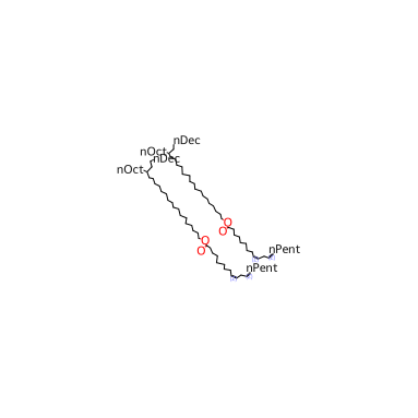 CCCCC/C=C\C/C=C\CCCCCCCC(=O)OCCCCCCCCCCCCCCCCCC(CCCCCCCC)CCCCCCCCCCCC.CCCCC/C=C\C/C=C\CCCCCCCC(=O)OCCCCCCCCCCCCCCCCCC(CCCCCCCC)CCCCCCCCCCCC